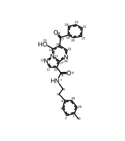 Cc1ccc(CCNC(=O)c2cnn3c(O)c(C(=O)c4ccccc4)cnc23)cc1